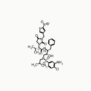 CC(C)CN(C[C@@H](O)[C@H](Cc1ccccc1)NC(=O)[C@H](C(C)C)N1CC(=O)N(Cc2csc([N+](=O)[O-])c2)C1=O)S(=O)(=O)c1ccc(Cl)c(N)c1